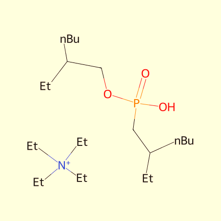 CCCCC(CC)COP(=O)(O)CC(CC)CCCC.CC[N+](CC)(CC)CC